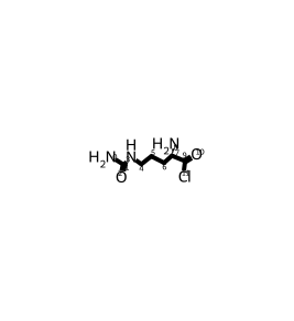 NC(=O)NCCC[C@H](N)C(=O)Cl